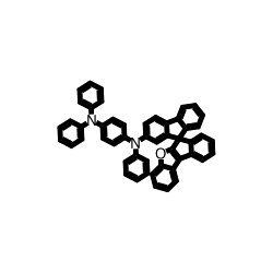 c1ccc(N(c2ccccc2)c2ccc(N(c3ccccc3)c3ccc4c(c3)C3(c5ccccc5-4)c4ccccc4-c4c3oc3ccccc43)cc2)cc1